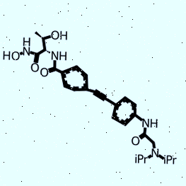 CC(C)N(CC(=O)Nc1ccc(C#Cc2ccc(C(=O)N[C@H](C(=O)NO)[C@@H](C)O)cc2)cc1)C(C)C